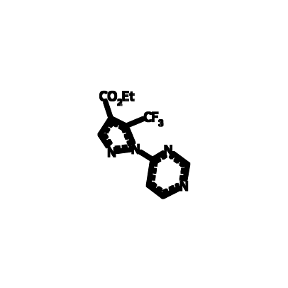 CCOC(=O)c1cnn(-c2ccncn2)c1C(F)(F)F